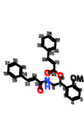 COc1ccccc1[C@@H](CNC(=O)/C=C/c1ccccc1)OC(=O)/C=C/c1ccccc1